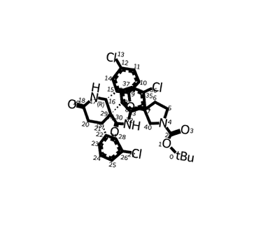 CC(C)(C)OC(=O)N1CCC(Oc2ccc(Cl)cc2[C@H]2NC(=O)C[C@@H](c3cccc(Cl)c3)[C@]23C(=O)Nc2cc(Cl)ccc23)C1